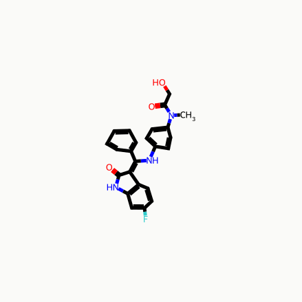 CN(C(=O)CO)c1ccc(NC(=C2C(=O)Nc3cc(F)ccc32)c2ccccc2)cc1